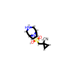 N#CC1(CS(=O)(=O)N2C3CCC2CNC3)CC1